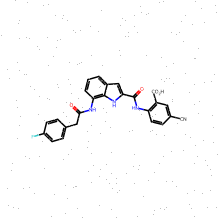 N#Cc1ccc(NC(=O)c2cc3cccc(NC(=O)Cc4ccc(F)cc4)c3[nH]2)c(C(=O)O)c1